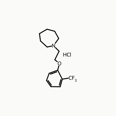 Cl.FC(F)(F)c1ccccc1OCCN1CCCCCC1